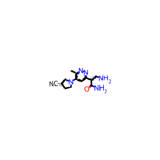 Cc1nnc(/C(=C/N)C(N)=O)cc1N1CC[C@H](C#N)C1